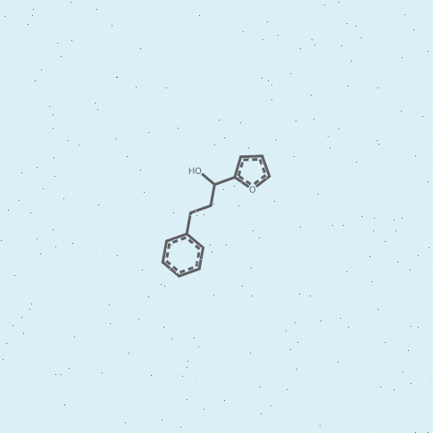 OC(CCc1ccccc1)c1ccco1